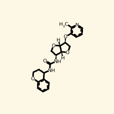 Cc1ncccc1O[C@H]1CO[C@H]2[C@@H]1OC[C@@H]2NC(=O)NC1CCOc2ccccc21